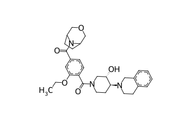 CCOc1cc(C(=O)N2C3CCC2COC3)ccc1C(=O)N1CC[C@H](N2CCc3ccccc3C2)[C@@H](O)C1